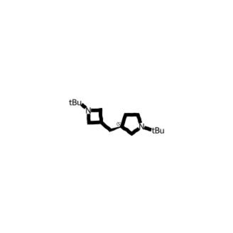 CC(C)(C)N1CC(C[C@H]2CCN(C(C)(C)C)C2)C1